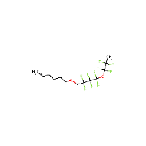 C=CCCCCOCC(F)(F)C(F)(F)C(F)(F)OC(F)(F)C(F)(F)C(F)(F)F